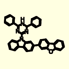 c1ccc(C2=NC(n3c4ccccc4c4ccc(-c5ccc6c(c5)oc5ccccc56)cc43)=NC(c3ccccc3)N2)cc1